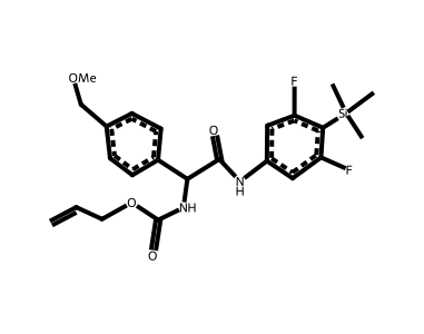 C=CCOC(=O)NC(C(=O)Nc1cc(F)c([Si](C)(C)C)c(F)c1)c1ccc(COC)cc1